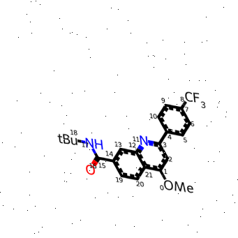 COc1cc(-c2ccc(C(F)(F)F)cc2)nc2cc(C(=O)NC(C)(C)C)ccc12